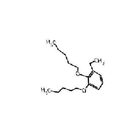 [CH2]Cc1cccc(OCCCCC)c1OCCCCC